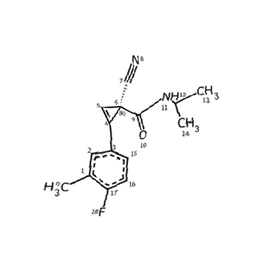 Cc1cc(C2=C[C@@]2(C#N)C(=O)NC(C)C)ccc1F